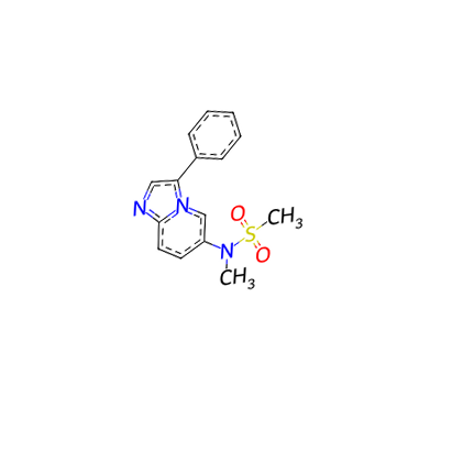 CN(c1ccc2ncc(-c3ccccc3)n2c1)S(C)(=O)=O